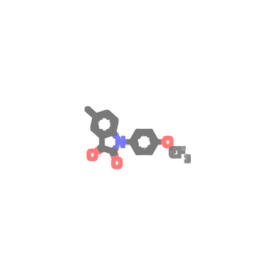 Cc1ccc2c(c1)C(=O)C(=O)N2c1ccc(OC(F)(F)F)cc1